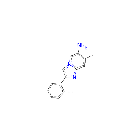 Cc1cc2nc(-c3ccccc3C)cn2cc1N